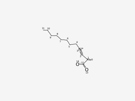 C=C(C#[N+]CCCCCCCC)C(=O)[O-]